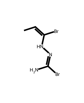 C/C=C(/Br)N/N=C(\N)Br